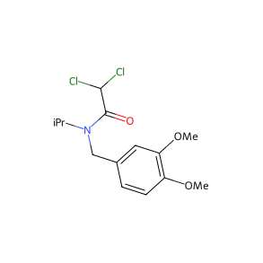 COc1ccc(CN(C(=O)C(Cl)Cl)C(C)C)cc1OC